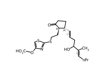 CCC/C=C(\C)C(O)C/C=C/[C@H]1CCC(=O)[C@@H]1CCSc1nc(OC(=O)O)cs1